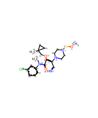 COSN1CCN(/C(C=N)=C(\OCC2(C)CC2)C(=O)N(C)c2cccc(Cl)c2)CC1